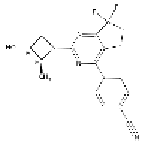 C[C@H]1[C@H](O)CN1c1nc(-c2ccc(C#N)cc2)c2c(n1)C(F)(F)CC2